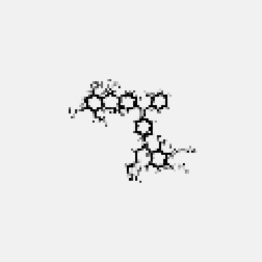 CCCN(c1ccc(C(c2ccc(N(CCCS(=O)(=O)O)c3c(C)cc(C)c(NC(C)=O)c3C)cc2)c2ccccc2S(=O)(=O)O)cc1)c1c(C)cc(C)c(C)c1C